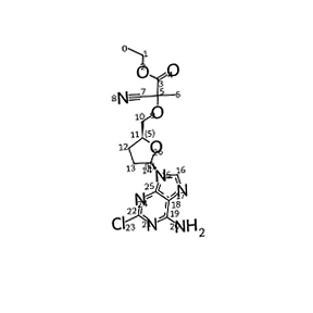 CCOC(=O)C(C)(C#N)OC[C@@H]1CC[C@H](n2cnc3c(N)nc(Cl)nc32)O1